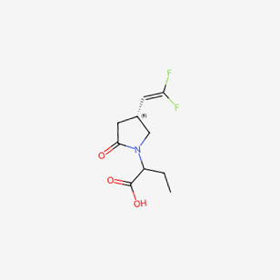 CCC(C(=O)O)N1C[C@@H](C=C(F)F)CC1=O